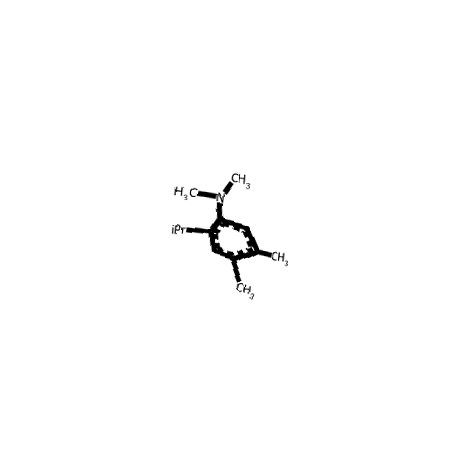 Cc1cc(C(C)C)c(N(C)C)cc1C